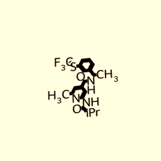 Cc1cc(C(=O)NC(C)c2cccc(SC(F)(F)F)c2)cc(NC(=O)C(C)C)n1